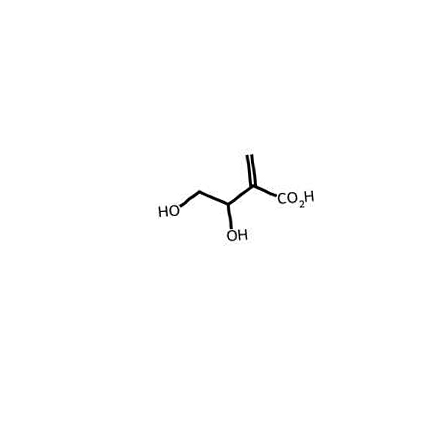 C=C(C(=O)O)C(O)CO